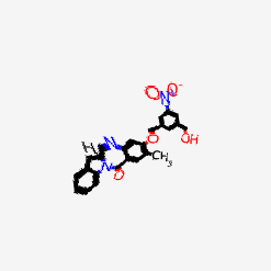 Cc1cc2c(cc1OCc1cc(CO)cc([N+](=O)[O-])c1)N=C[C@@H]1Cc3ccccc3N1C2=O